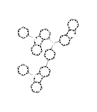 c1ccc(-n2c3ccccc3c3ccc(-c4ccc(N(c5ccc6oc7ccccc7c6c5)c5cccc6c5c5ccccc5n6-c5ccccc5)cc4)cc32)cc1